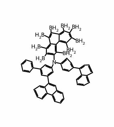 Bc1c(B)c(B)c2c(c1B)c(B)c(B)c1c(B)c(B)c(N(c3ccc(-c4cccc5ccccc45)cc3)c3cc(-c4ccccc4)cc(-c4cc5ccccc5c5ccccc45)c3)c(B)c12